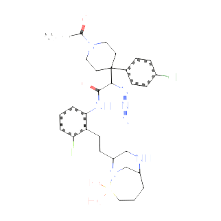 COC(=O)N1CCC(c2ccc(Cl)cc2)(C(N=[N+]=[N-])C(=O)Nc2cccc(F)c2CCC2CNC3CCCS(O)(O)N2C3)CC1